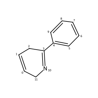 C1=CCC(c2ccccc2)=NC1